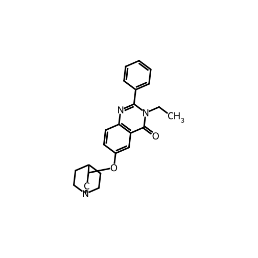 CCn1c(-c2ccccc2)nc2ccc(OC3CN4CCC3CC4)cc2c1=O